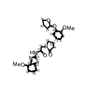 COc1ccc([C@@H]2CC(=O)N(CC(=O)Nc3nc4c(OC)cccc4s3)C2)cc1OC1CCCO1